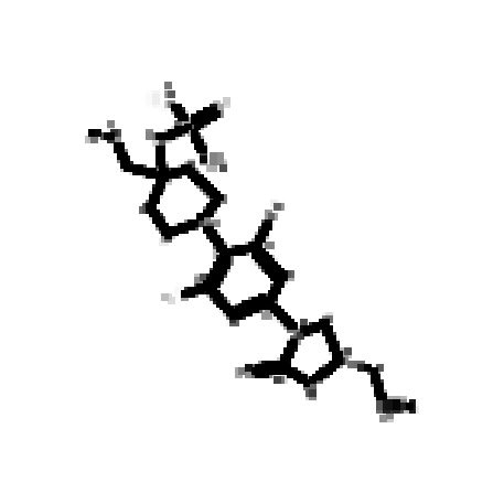 COCC1(OP(C)(C)=O)CCN(c2c(F)cc(N3C[C@H](CNC(C)=O)OC3=O)cc2F)CC1